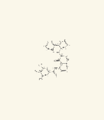 O=C(Nc1cccc2ncn(Cc3ccccc3-c3ccccn3)c(=O)c12)c1cc(Cl)c(O)c(Cl)c1